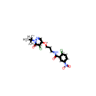 CC(C)(C)n1ncc(OCCCNC(=O)c2cc([N+](=O)[O-])ccc2Cl)c(Cl)c1=O